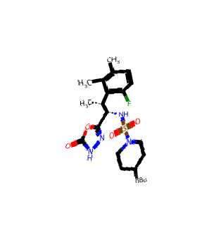 CCCCC1CCN(S(=O)(=O)N[C@H](c2n[nH]c(=O)o2)[C@H](C)c2c(F)ccc(C)c2C)CC1